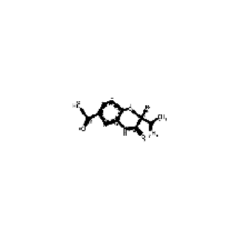 CC(C)C1(Br)Oc2ccc(C(=O)O)cc2NC1=O